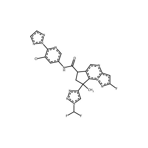 CC1(c2cn(C(F)F)nn2)CC(C(=O)Nc2cnc(-n3nccn3)c(Cl)c2)c2cnc3cc(F)nn3c21